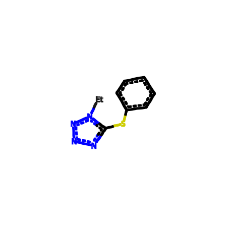 CCn1nnnc1Sc1ccccc1